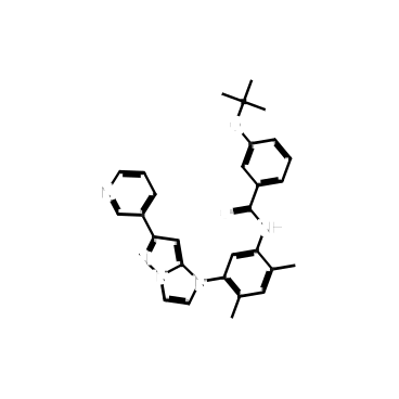 Cc1cc(C)c(-n2ccn3nc(-c4cccnc4)cc23)cc1NC(=O)c1cccc(OC(C)(C)C)c1